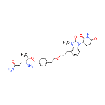 C[C@@H](OCc1ccc(CCOCCCc2cccc3c2n(C)c(=O)n3C2CCC(=O)NC2=O)cc1)[C@@H](N)CCC(N)=O